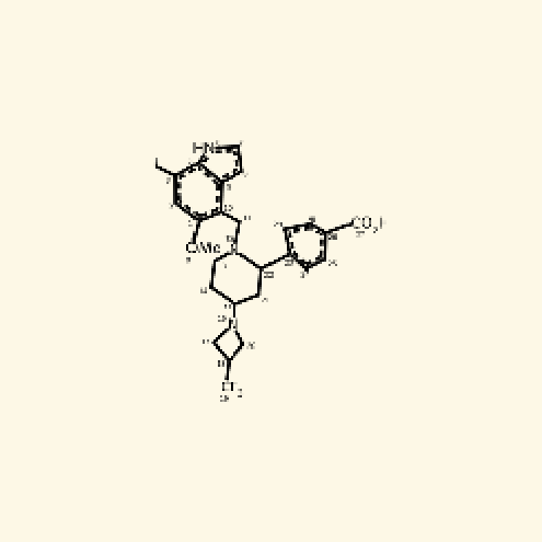 COc1cc(C)c2[nH]ccc2c1CN1CCC(N2CC(C(F)(F)F)C2)CC1c1ccc(C(=O)O)cc1